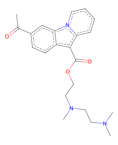 CC(=O)c1ccc2c(C(=O)OCCN(C)CCN(C)C)c3ccccn3c2c1